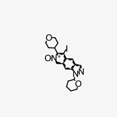 [O-][n+]1cc2cc3c(cnn3C3CCCCO3)cc2c(I)c1C1CCOCC1